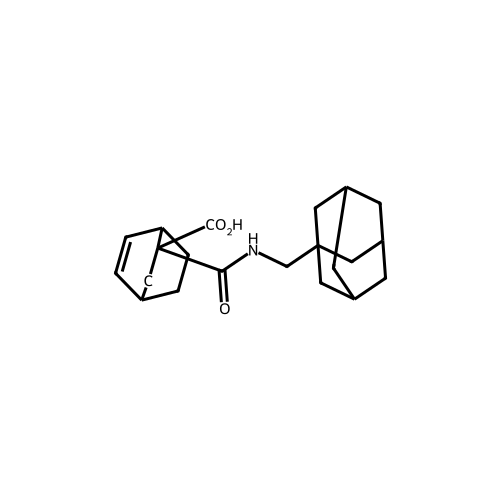 O=C(O)C1(C(=O)NCC23CC4CC(CC(C4)C2)C3)CC2C=CC1CC2